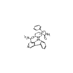 NC(=O)c1cncc2c3ccccc3n(N3CCC[C@]4(C3)C(=O)NC[C@@H]4c3ccccc3)c12